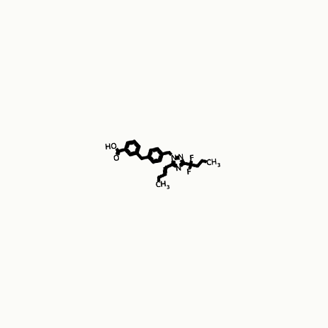 CCC=Cc1nc(C(F)(F)CCC)nn1Cc1ccc(Cc2cccc(C(=O)O)c2)cc1